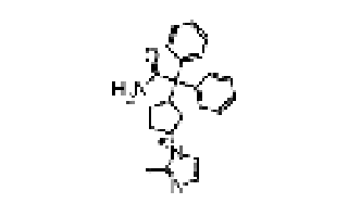 Cc1nccn1[C@@H]1CCC(C(C(N)=O)(c2ccccc2)c2ccccc2)C1